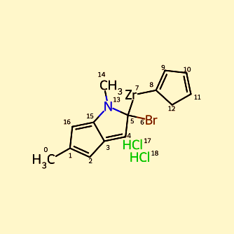 CC1=CC2=C[C](Br)([Zr][C]3=CC=CC3)N(C)C2=C1.Cl.Cl